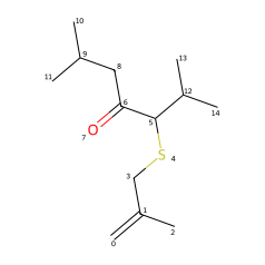 C=C(C)CSC(C(=O)CC(C)C)C(C)C